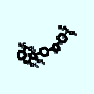 CC(C)c1cccc(O[C@H](C)c2nnc(C3CCC(n4cc([C@@H]5CC[C@@H](N(C)C)CO5)nn4)CC3)n2C)c1